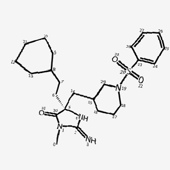 CN1C(=N)N[C@](CCC2CCCCC2)(CC2CCCN(S(=O)(=O)c3ccccc3)C2)C1=O